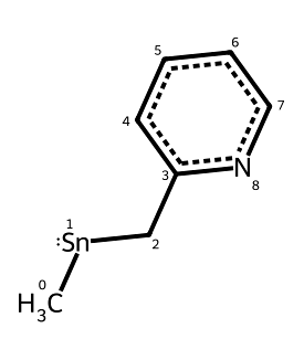 [CH3][Sn][CH2]c1ccccn1